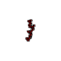 c1ccc(-c2nc(-c3ccc(-c4cccc(-c5nc(-c6ccccc6)nc(-c6ccc7sc8ccc9c%10cc(-n%11c%12ccccc%12c%12ccccc%12%11)ccc%10oc9c8c7c6)n5)c4)cc3)nc(-c3ccc4sc5c(ccc6c7cc(-n8c9ccccc9c9ccccc98)ccc7oc65)c4c3)n2)cc1